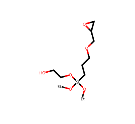 CCO[Si](CCCOCC1CO1)(OCC)OCCO